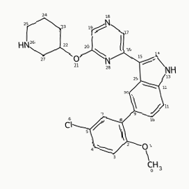 COc1ccc(Cl)cc1-c1ccc2[nH]cc(-c3cncc(OC4CCCNC4)n3)c2c1